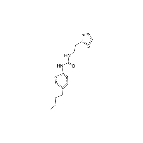 CCCCc1ccc(NC(=O)NCCc2cccs2)cc1